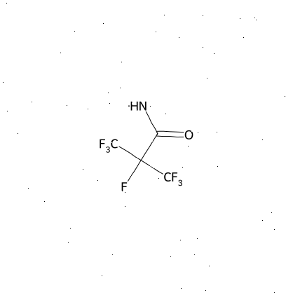 [NH]C(=O)C(F)(C(F)(F)F)C(F)(F)F